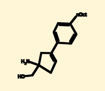 CCCCCCCCc1ccc(C2=CCC(N)(CO)C2)cc1